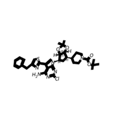 CC(C)(C)OC(=O)N1CCC([C@H]2C[C@@H](n3cc(-c4nc(Cc5ccccc5)cs4)c4c(N)nc(Cl)nc43)[C@@H]3OC(C)(C)O[C@@H]32)CC1